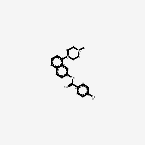 CN1CCN(c2cccc3ccc(OC(=O)c4ccc(Cl)cc4)cc23)CC1